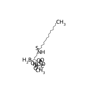 B[C@@H]1O[C@H](COC)C(OP(=O)(O)OC)[C@@H]1CCCNC(=S)CCCCCCCCCCCCCCC